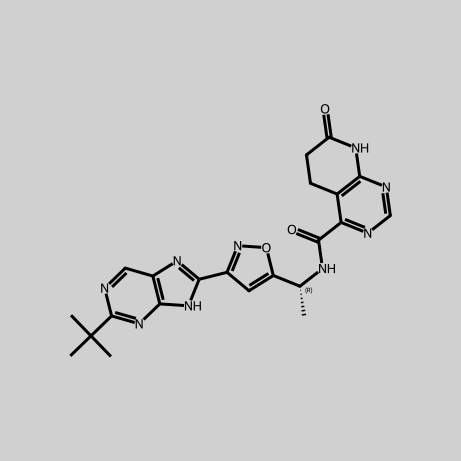 C[C@@H](NC(=O)c1ncnc2c1CCC(=O)N2)c1cc(-c2nc3cnc(C(C)(C)C)nc3[nH]2)no1